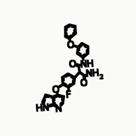 NC(=O)C(C(=O)Nc1cccc(Oc2ccccc2)c1)c1ccc(Oc2ccnc3[nH]ccc23)c(F)c1